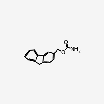 NC(=O)OCc1ccc2c(c1)-c1ccccc1C2